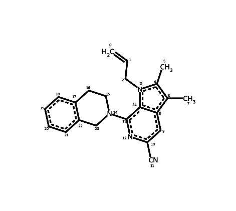 C=CCn1c(C)c(C)c2cc(C#N)nc(N3CCc4ccccc4C3)c21